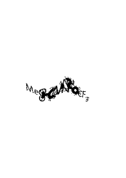 COC(=O)C1CCN(c2cn3ccnc3c(-c3ccc(C(F)(F)F)cc3)n2)C1